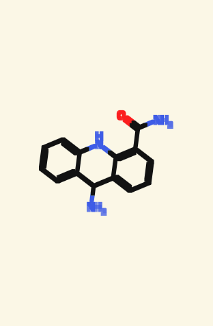 NC(=O)c1cccc2c1Nc1ccccc1C2N